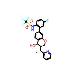 C[C@@H](c1ccccn1)[C@@H]1COc2cc(-c3cc(F)ccc3NS(=O)(=O)C(F)(F)F)ccc2[C@@H]1O